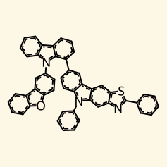 c1ccc(-c2nc3cc4c(cc3s2)c2cc(-c3cccc5c6ccccc6n(-c6ccc7oc8ccccc8c7c6)c35)ccc2n4-c2ccccc2)cc1